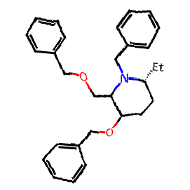 CC[C@@H]1CCC(OCc2ccccc2)C(COCc2ccccc2)N1Cc1ccccc1